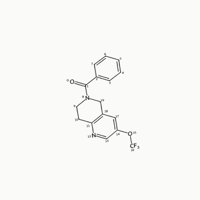 O=C(c1ccccc1)N1CCc2ncc(OC(F)(F)F)cc2C1